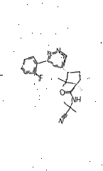 CC(C)(C#N)NC(=O)[C@]1(C)CC[C@@H](c2cnnc(-c3ccccc3F)c2)C1(C)C